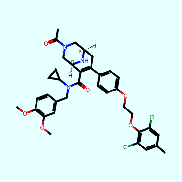 COc1ccc(CN(C(=O)C2=C(c3ccc(OCCOc4c(Cl)cc(C)cc4Cl)cc3)C[C@@H]3CN(C(C)=O)C[C@H]2N3)C2CC2)cc1OC